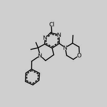 CC1COCCN1c1nc(Cl)nc2c1CCN(Cc1ccccc1)C2(C)C